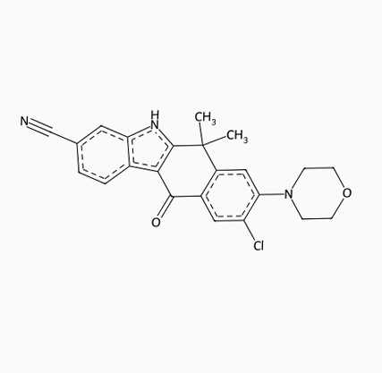 CC1(C)c2cc(N3CCOCC3)c(Cl)cc2C(=O)c2c1[nH]c1cc(C#N)ccc21